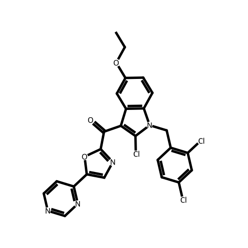 CCOc1ccc2c(c1)c(C(=O)c1ncc(-c3ccncn3)o1)c(Cl)n2Cc1ccc(Cl)cc1Cl